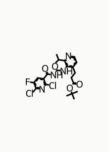 CC(C)c1nccc(CCC(=O)OC(C)(C)C)c1NC(=O)NC(=O)c1cc(F)c(Cl)nc1Cl